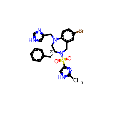 Cc1nc(S(=O)(=O)N2Cc3cc(Br)ccc3N(Cc3c[nH]cn3)C[C@H]2Cc2ccccc2)c[nH]1